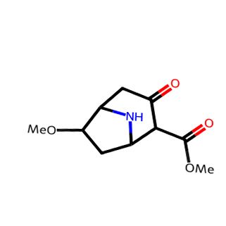 COC(=O)C1C(=O)CC2NC1CC2OC